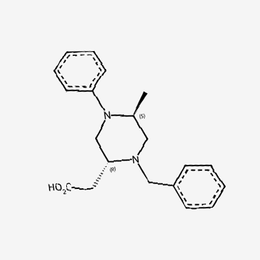 C[C@H]1CN(Cc2ccccc2)[C@H](CC(=O)O)CN1c1ccccc1